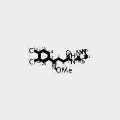 CO/N=C(\CCC(=O)Nc1nncs1)c1ccc(Cl)c(Cl)c1